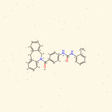 Cc1ccccc1NC(=O)Nc1ccc(C(=O)N2Cc3ccccc3Cc3ccccc32)cc1